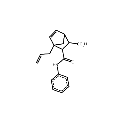 C=CCC12C=CC(C1)C(C(=O)O)C2C(=O)Nc1ccccc1